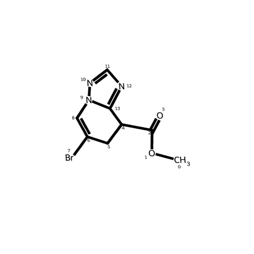 COC(=O)C1CC(Br)=Cn2ncnc21